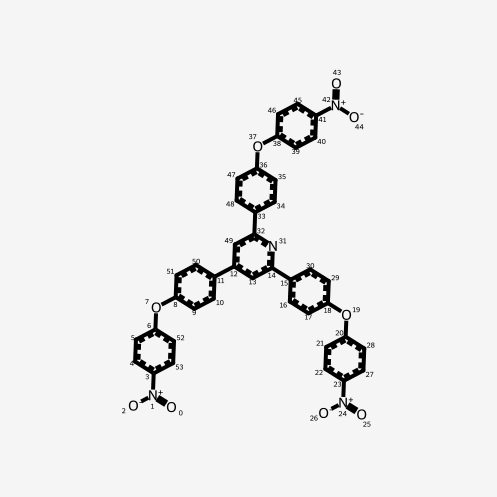 O=[N+]([O-])c1ccc(Oc2ccc(-c3cc(-c4ccc(Oc5ccc([N+](=O)[O-])cc5)cc4)nc(-c4ccc(Oc5ccc([N+](=O)[O-])cc5)cc4)c3)cc2)cc1